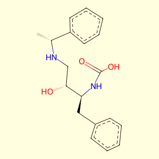 C[C@@H](NC[C@@H](O)[C@H](Cc1ccccc1)NC(=O)O)c1ccccc1